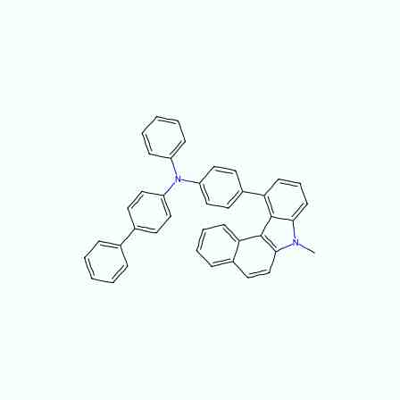 Cn1c2cccc(-c3ccc(N(c4ccccc4)c4ccc(-c5ccccc5)cc4)cc3)c2c2c3ccccc3ccc21